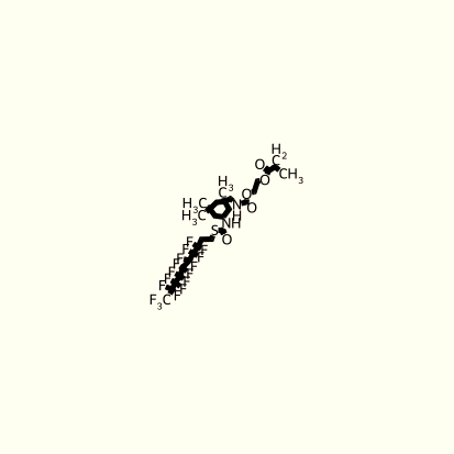 C=C(C)C(=O)OCCOC(=O)NCC1(C)CC(NC(=O)SCCC(F)(F)C(F)(F)C(F)(F)C(F)(F)C(F)(F)C(F)(F)C(F)(F)C(F)(F)F)CC(C)(C)C1